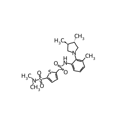 Cc1cccc(NS(=O)(=O)c2ccc(S(=O)(=O)N(C)C)s2)c1N1C[C@@H](C)[C@H](C)C1